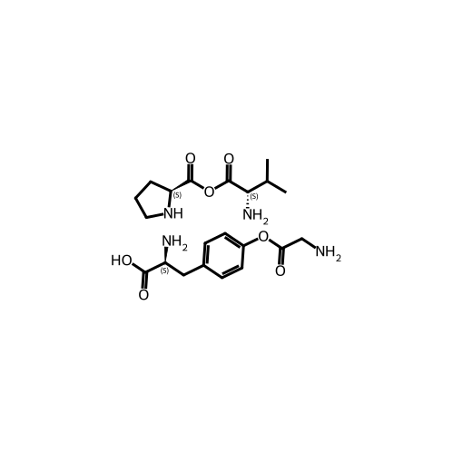 CC(C)[C@H](N)C(=O)OC(=O)[C@@H]1CCCN1.NCC(=O)Oc1ccc(C[C@H](N)C(=O)O)cc1